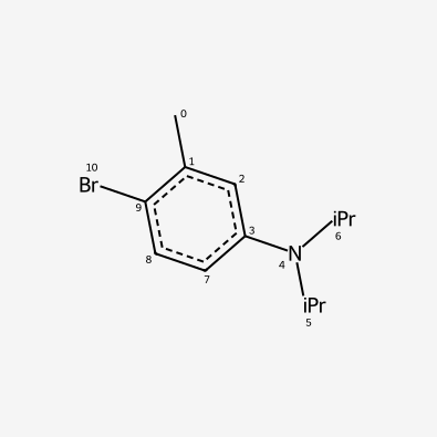 Cc1cc(N(C(C)C)C(C)C)ccc1Br